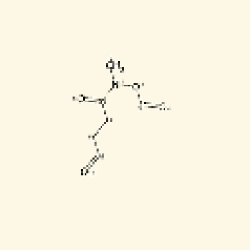 CN(OC=O)C(=O)CCC=O